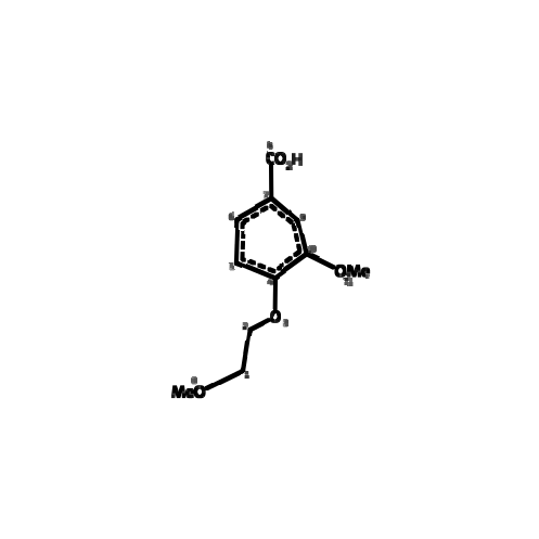 COCCOc1ccc(C(=O)O)cc1OC